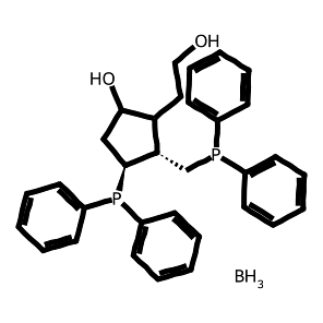 B.OCCC1C(O)C[C@H](P(c2ccccc2)c2ccccc2)[C@H]1CP(c1ccccc1)c1ccccc1